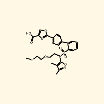 COCCOCCN(c1onc(C)c1C)S(=O)(=O)c1ccccc1-c1ccc(-c2nc(C(=O)O)co2)cc1